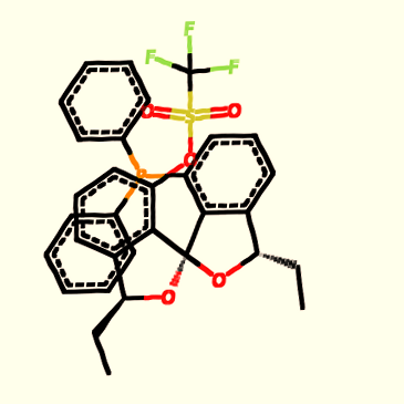 CC[C@@H]1O[C@]2(O[C@@H](CC)c3cccc(P(c4ccccc4)c4ccccc4)c32)c2c(OS(=O)(=O)C(F)(F)F)cccc21